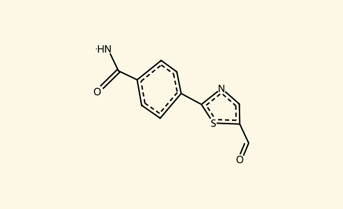 [NH]C(=O)c1ccc(-c2ncc(C=O)s2)cc1